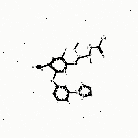 CC[C@@H](Nc1nc(Nc2cccc(-n3nccn3)c2)c(C#N)cc1F)[C@H](C)NC(=O)O